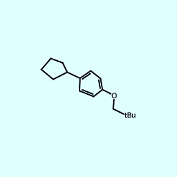 CC(C)(C)COc1ccc(C2CCCC2)cc1